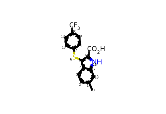 Cc1ccc2c(Sc3ccc(C(F)(F)F)cc3)c(C(=O)O)[nH]c2c1